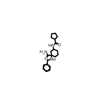 NC(=O)C1(NCc2ccccc2)CCCC(NC(=O)C2CCCC2)C1